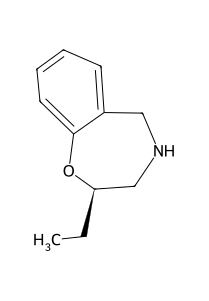 CC[C@@H]1CNCc2ccccc2O1